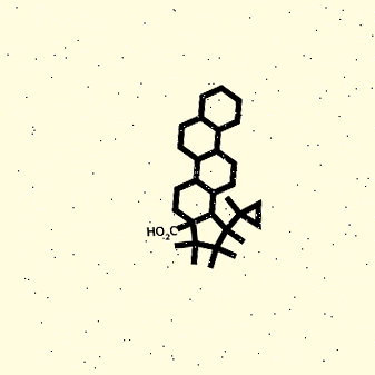 CC1(C2(C)C3C4CCC5C6CCCCC6CCC5C4CCC3(C(=O)O)C(C)(C)C2(C)C)CC1